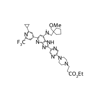 CCOC(=O)CCN1CCN(c2cnc(-c3nc4nc(-c5cc(C6CC6)nc(C(F)(F)F)c5)cc(N(C)CC5(COC)CCCC5)c4[nH]3)cn2)CC1